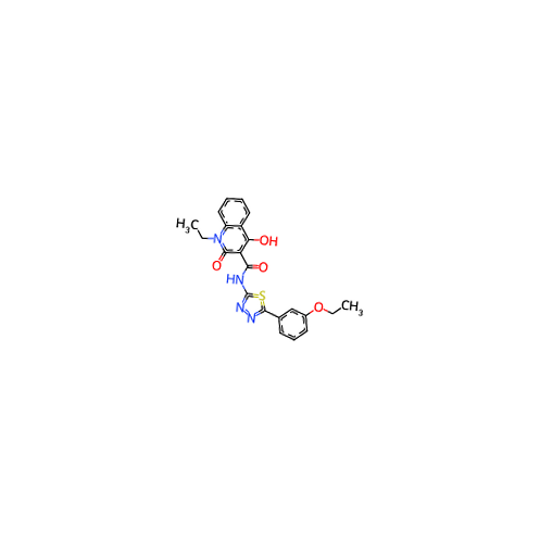 CCOc1cccc(-c2nnc(NC(=O)c3c(O)c4ccccc4n(CC)c3=O)s2)c1